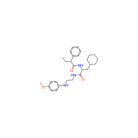 CCC(C(=O)NC(CC1CCCCC1)C(=O)NCCNc1ccc(OC)cc1)c1ccccc1